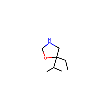 CCC1(C(C)C)CNCO1